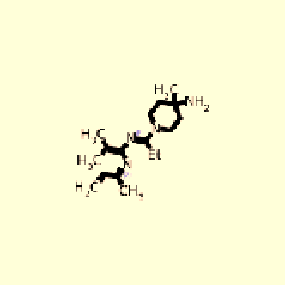 C=C/C(C)=N\C(/N=C(\CC)N1CCC(C)(N)CC1)=C(C)C